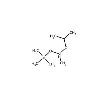 CC(C)O[SiH](C)O[Si](C)(C)C